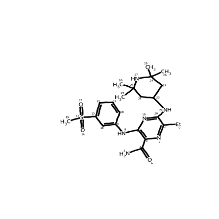 CCc1nc(C(N)=O)c(Nc2cccc(S(C)(=O)=O)c2)nc1NC1CC(C)(C)NC(C)(C)C1